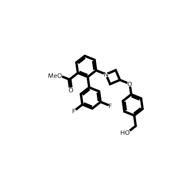 COC(=O)c1cccc(N2CC(Oc3ccc(CO)cc3)C2)c1-c1cc(F)cc(F)c1